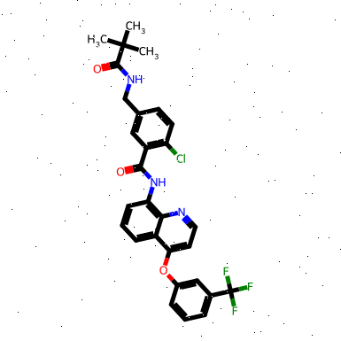 CC(C)(C)C(=O)NCc1ccc(Cl)c(C(=O)Nc2cccc3c(Oc4cccc(C(F)(F)F)c4)ccnc23)c1